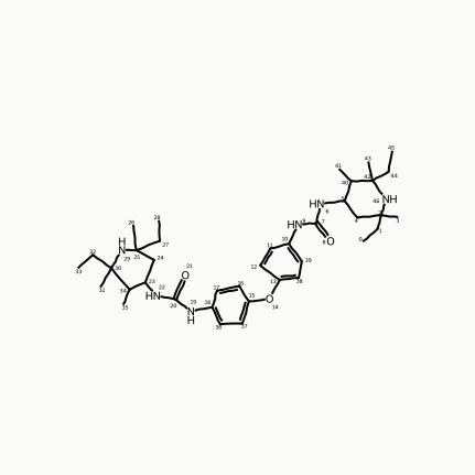 CCC1(C)CC(NC(=O)Nc2ccc(Oc3ccc(NC(=O)NC4CC(C)(CC)NC(C)(CC)C4C)cc3)cc2)C(C)C(C)(CC)N1